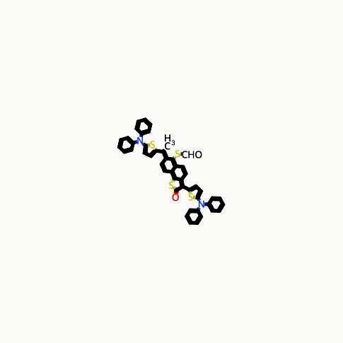 C/C(c1ccc(N(c2ccccc2)c2ccccc2)s1)=c1/ccc2c3c(ccc2c1SC=O)=C(c1ccc(N(c2ccccc2)c2ccccc2)s1)C(=O)S3